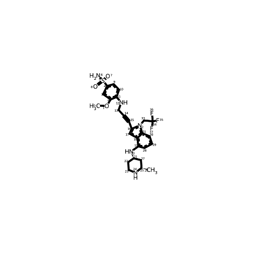 COc1cc(S(N)(=O)=O)ccc1NCC#Cc1cc2c(N[C@H]3CCN[C@@H](C)C3)cccc2n1CC(F)(F)F